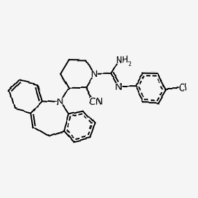 N#CC1C(N2C3=CC=CCC3=CCc3ccccc32)CCCN1C(N)=Nc1ccc(Cl)cc1